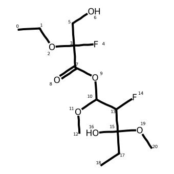 CCOC(F)(CO)C(=O)OC(OC)C(F)C(O)(CC)OC